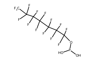 OP(O)OC(F)(F)C(F)(F)C(F)(F)C(F)(F)C(F)(F)C(F)(F)C(F)(F)F